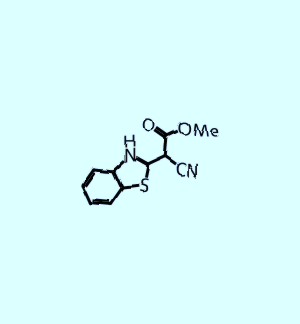 COC(=O)C(C#N)C1NC2C=CC=CC2S1